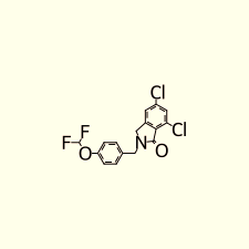 O=C1c2c(Cl)cc(Cl)cc2CN1Cc1ccc(OC(F)F)cc1